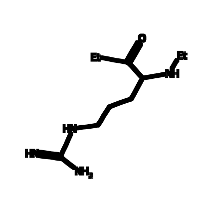 CCNC(CCCNC(=N)N)C(=O)CC